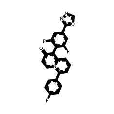 O=c1ccn2c(-c3ccc(F)cc3)cccc2c1-c1c(F)cc(-c2nnco2)cc1F